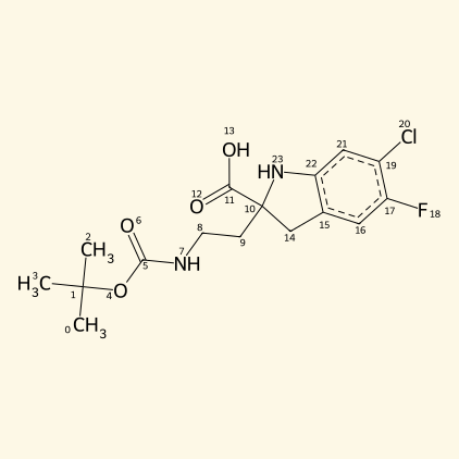 CC(C)(C)OC(=O)NCCC1(C(=O)O)Cc2cc(F)c(Cl)cc2N1